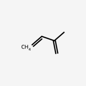 C.C=CC(=C)C